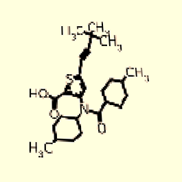 CC1CCC(C(=O)N(c2cc(C#CC(C)(C)C)sc2C(=O)O)C2CCC(C)CC2)CC1